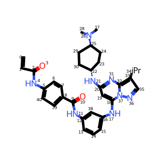 C=CC(=O)Nc1ccc(C(=O)Nc2cccc(Nc3cc(N[C@H]4CC[C@H](N(C)C)CC4)nc4c(C(C)C)cnn34)c2)cc1